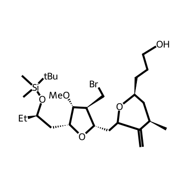 C=C1C(C[C@@H]2O[C@H](C[C@@H](CC)O[Si](C)(C)C(C)(C)C)[C@H](OC)[C@H]2CBr)O[C@@H](CCCO)C[C@H]1C